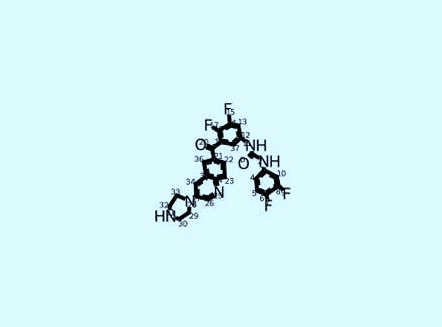 O=C(Nc1ccc(F)c(F)c1)Nc1cc(F)c(F)c(C(=O)c2ccc3ncc(N4CCNCC4)cc3c2)c1